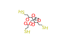 CCC(COC(=O)CCS)(C(=O)C(=O)CCS)C(=O)C(=O)CCS